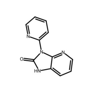 O=c1[nH]c2cccnc2n1-c1ccccn1